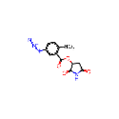 [N-]=[N+]=Nc1ccc([N+](=O)[O-])c(C(=O)OC2CC(=O)NC2=O)c1